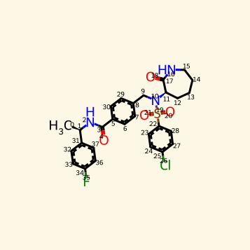 C[C@@H](NC(=O)c1ccc(CN([C@@H]2CCCCNC2=O)S(=O)(=O)c2ccc(Cl)cc2)cc1)c1ccc(F)cc1